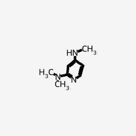 CNc1ccnc(N(C)C)c1